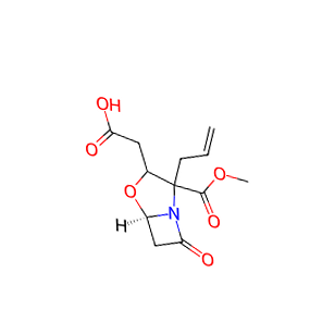 C=CCC1(C(=O)OC)C(CC(=O)O)O[C@@H]2CC(=O)N21